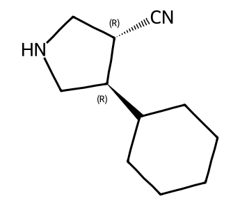 N#C[C@H]1CNC[C@@H]1C1CCCCC1